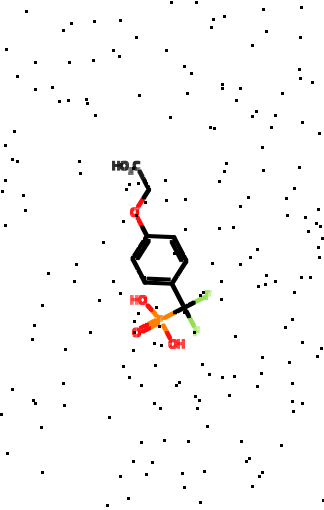 O=C(O)COc1ccc(C(F)(F)P(=O)(O)O)cc1